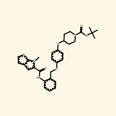 Cn1c(C(=O)Nc2ccccc2COc2ccc(OC3CCN(C(=O)OC(C)(C)C)CC3)cc2)cc2ccsc21